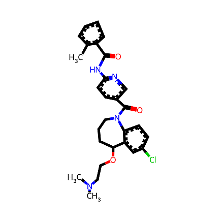 Cc1ccccc1C(=O)Nc1ccc(C(=O)N2CCCC(OCCN(C)C)c3cc(Cl)ccc32)cn1